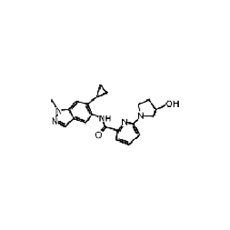 Cn1ncc2cc(NC(=O)c3cccc(N4CCC(O)C4)n3)c(C3CC3)cc21